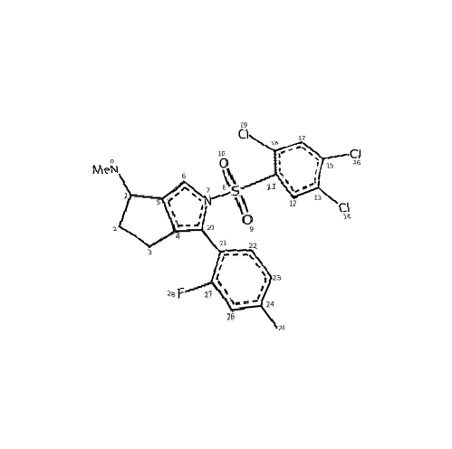 CNC1CCc2c1cn(S(=O)(=O)c1cc(Cl)c(Cl)cc1Cl)c2-c1ccc(C)cc1F